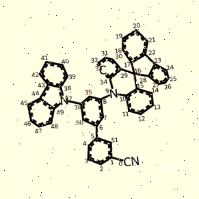 N#Cc1cccc(-c2cc(N3c4ccccc4C4(c5ccccc5-c5ccccc54)c4ccccc43)cc(-n3c4ccccc4c4ccccc43)c2)c1